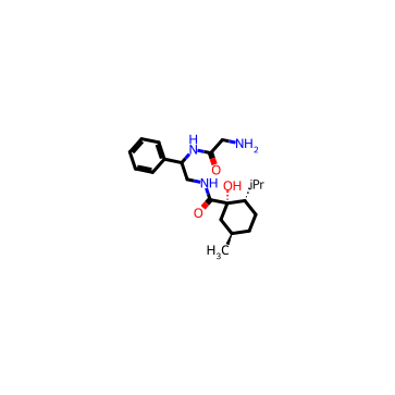 CC(C)[C@@H]1CC[C@@H](C)C[C@@]1(O)C(=O)NCC(NC(=O)CN)c1ccccc1